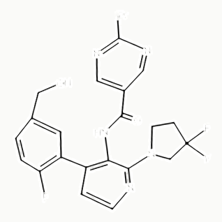 CC(C)c1ncc(C(=O)Nc2c(-c3cc(CO)ccc3F)ccnc2N2CCC(F)(F)C2)cn1